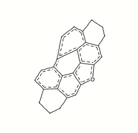 c1cc2c3ccc4c5c(cc6oc7cc8c(c1CCC8)c2c7c6c53)CCC4